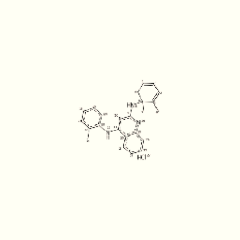 CC1=CC=CCC1(C)Nc1nc(Nc2ccccc2C)c2ccccc2n1.Cl